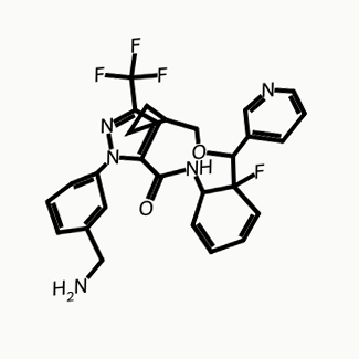 NCc1cccc(-n2nc(C(F)(F)F)cc2C(=O)NC2C=CC=CC2(F)C(OCC2CC2)c2cccnc2)c1